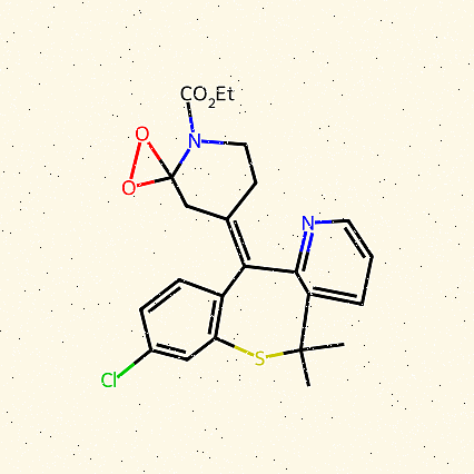 CCOC(=O)N1CCC(=C2c3ccc(Cl)cc3SC(C)(C)c3cccnc32)CC12OO2